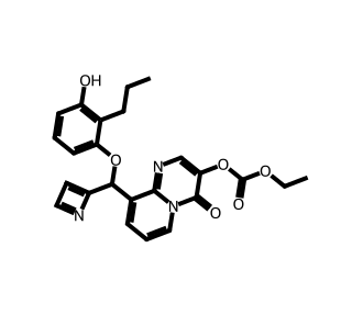 CCCc1c(O)cccc1OC(C1=CC=N1)c1cccn2c(=O)c(OC(=O)OCC)cnc12